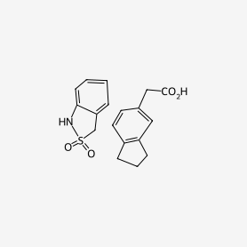 O=C(O)Cc1ccc2c(c1)CCC2.O=S1(=O)Cc2ccccc2N1